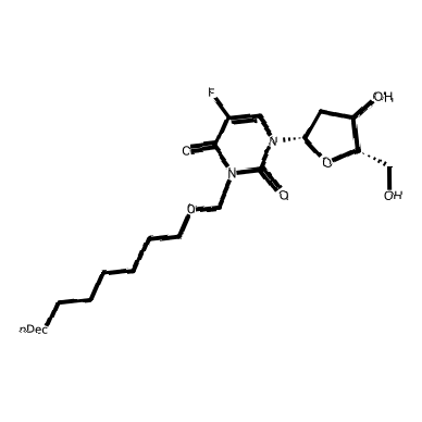 CCCCCCCCCCCCCCCCOCn1c(=O)c(F)cn([C@@H]2CC(O)[C@H](CO)O2)c1=O